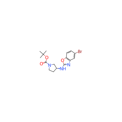 CC(C)(C)OC(=O)N1CC[C@H](Nc2nc3cc(Br)ccc3o2)C1